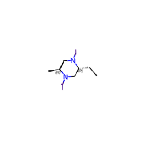 CC[C@@H]1CN(I)[C@@H](C)CN1I